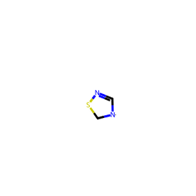 C1=NSC[N]1